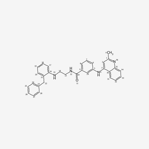 Cc1cc(Nc2cccc(C(=O)NCCNc3ccccc3Cc3ccccc3)c2)c2ccccc2n1